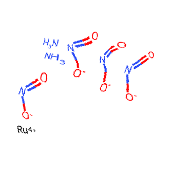 N.N.O=N[O-].O=N[O-].O=N[O-].O=N[O-].[Ru+4]